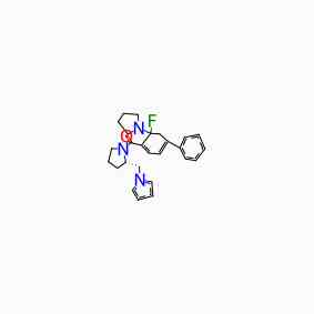 O=C(C1=CC=C(c2ccccc2)CC1(F)N1CCCC1)N1CCC[C@H]1Cn1cccc1